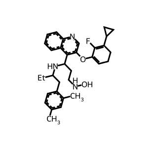 CCC(Cc1ccc(C)cc1C)NC(CCNO)c1c(OC2=CCCC(C3CC3)=C2F)cnc2ccccc12